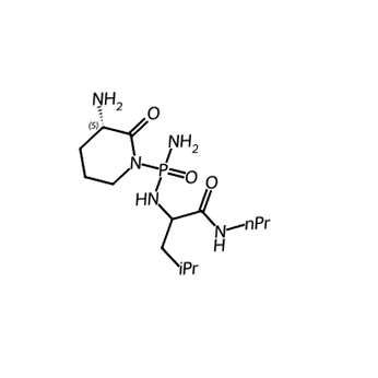 CCCNC(=O)C(CC(C)C)NP(N)(=O)N1CCC[C@H](N)C1=O